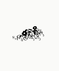 COc1ccc(CN2CCN(C3=C(c4ccccc4)C(C)(C)NC3(C)C)CC2)c(OC)c1OC